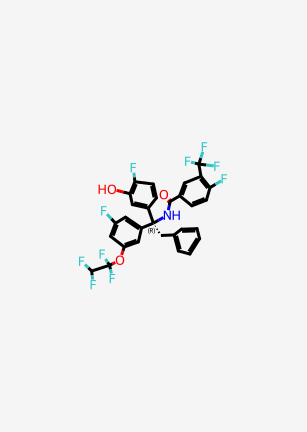 O=C(N[C@@](Cc1ccccc1)(c1cc(F)cc(OC(F)(F)C(F)F)c1)c1ccc(F)c(O)c1)c1ccc(F)c(C(F)(F)F)c1